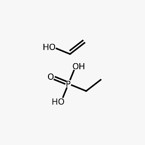 C=CO.CCP(=O)(O)O